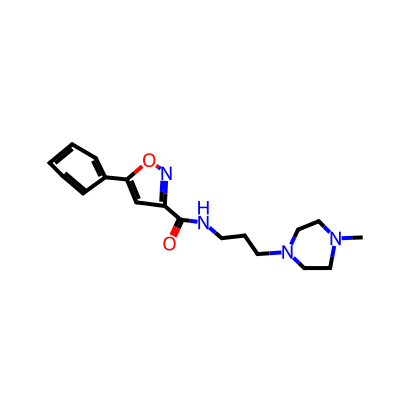 CN1CCN(CCCNC(=O)c2cc(-c3ccccc3)on2)CC1